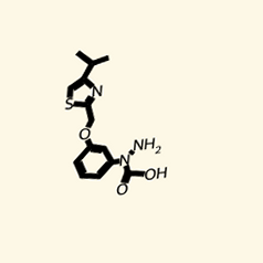 CC(C)c1csc(COc2cccc(N(N)C(=O)O)c2)n1